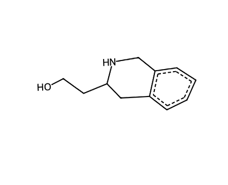 OCCC1Cc2ccccc2CN1